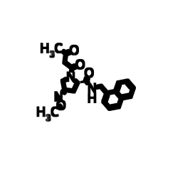 CO/N=C1\C[C@@H](C(=O)NCc2cccc3ccccc23)N(C(=O)CC(C)=O)C1